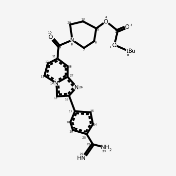 CC(C)(C)OC(=O)OC1CCN(C(=O)c2ccn3cc(-c4ccc(C(=N)N)cc4)nc3c2)CC1